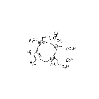 C=CC1=C(C)c2cc3[nH]c(cc4nc(cc5[nH]c(cc1n2)c(C)c5C=C)C(C)=C4CCC(=O)O)c(CCC(=O)O)c3C.[Cl-].[Cl-].[Cl-].[Co+3]